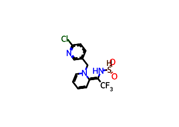 O=[SH](=O)NC(=C1C=CC=CN1Cc1ccc(Cl)nc1)C(F)(F)F